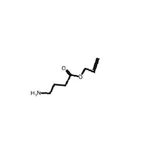 C=CCOC(=O)CCCN